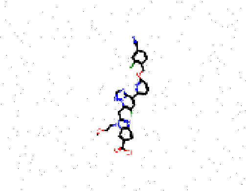 COCCn1c(Cc2c(F)cc(-c3cccc(OCc4ccc(C#N)cc4F)n3)c3ncnn23)nc2ccc(C(=O)O)cc21